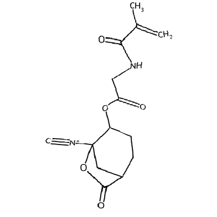 [C-]#[N+]C12CC(CCC1OC(=O)CNC(=O)C(=C)C)C(=O)O2